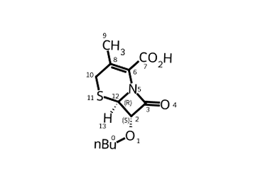 CCCCO[C@H]1C(=O)N2C(C(=O)O)=C(C)CS[C@H]12